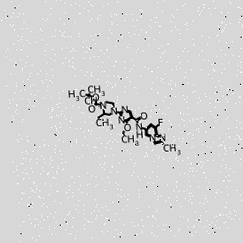 CCOc1nc(N2CCN(C(=O)OC(C)(C)C)C(CC)C2)ncc1C(=O)Nc1cc(F)c2nc(C)cn2c1